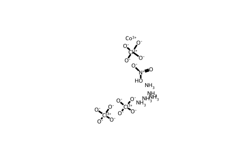 N.N.N.N.N.O=[N+]([O-])O.[Co+3].[O-][Cl+3]([O-])([O-])[O-].[O-][Cl+3]([O-])([O-])[O-].[O-][Cl+3]([O-])([O-])[O-]